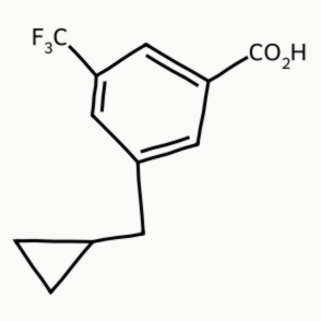 O=C(O)c1cc(CC2CC2)cc(C(F)(F)F)c1